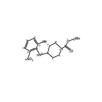 CC(C)(C)OC(=O)N1CCC(Nc2c(Br)cccc2[N+](=O)[O-])CC1